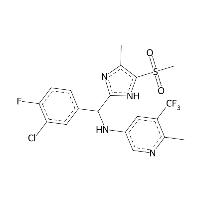 Cc1ncc(NC(c2ccc(F)c(Cl)c2)c2nc(C)c(S(C)(=O)=O)[nH]2)cc1C(F)(F)F